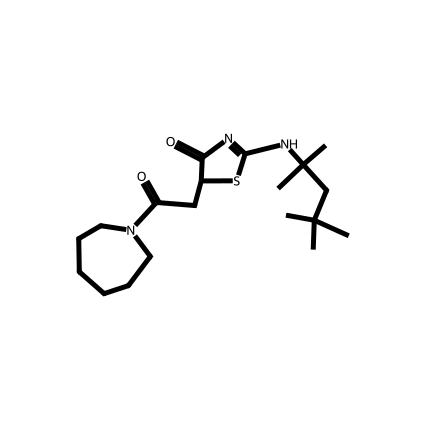 CC(C)(C)CC(C)(C)NC1=NC(=O)C(CC(=O)N2CCCCCC2)S1